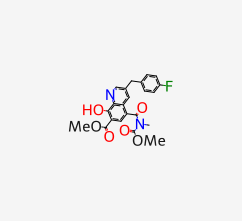 COC(=O)c1cc(C(=O)N(C)C(=O)OC)c2cc(Cc3ccc(F)cc3)cnc2c1O